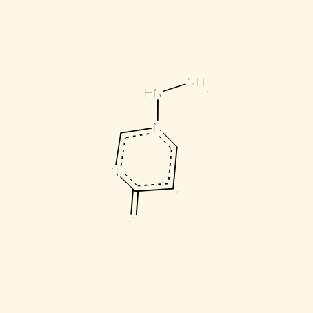 NNn1ccc(=O)nc1